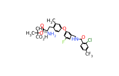 Cc1cc(Oc2cc(F)cc(CNC(=O)c3ccc(C(F)(F)F)cc3Cl)c2)ccc1C[C@H](N)C(=O)OC(C)(C)C(=O)O